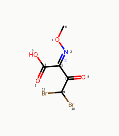 CO/N=C(\C(=O)O)C(=O)C(Br)Br